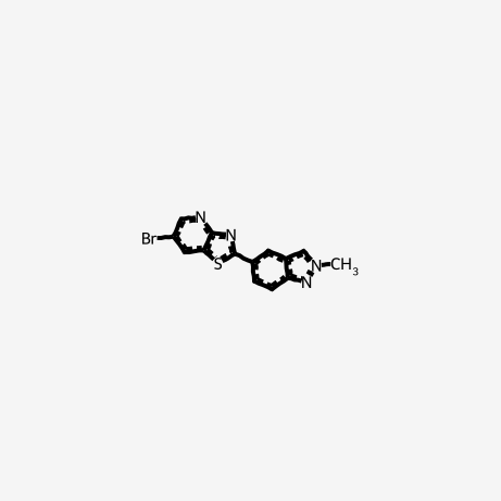 Cn1cc2cc(-c3nc4ncc(Br)cc4s3)ccc2n1